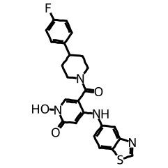 O=C(c1cn(O)c(=O)cc1Nc1ccc2scnc2c1)N1CCC(c2ccc(F)cc2)CC1